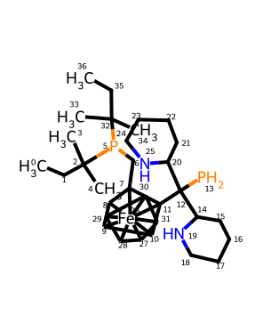 CCC(C)(C)P(C[C]12[CH]3[CH]4[CH]5[C]1(C(P)(C1CCCCN1)C1CCCCN1)[Fe]43521678[CH]2[CH]1[CH]6[CH]7[CH]28)C(C)(C)CC